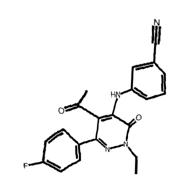 CCn1nc(-c2ccc(F)cc2)c(C(C)=O)c(Nc2cccc(C#N)c2)c1=O